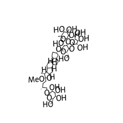 CO[C@@]1(CC[C@@H](C)CO[C@@H]2O[C@H](CO)[C@@H](O)[C@H](O)[C@H]2O)O[C@H]2C[C@@H]3C(CC[C@H]4[C@H]3CC=C3C[C@@H](O[C@H]5O[C@@H](CO)[C@H](O[C@@H]6O[C@@H](CO)[C@H](O)[C@H]6O)[C@@H](O[C@@H]6O[C@@H](C)[C@H](O)[C@@H](O)[C@H]6O)[C@@H]5O)CC[C@@]34C)[C@H]2[C@@H]1C